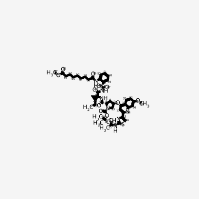 C=CC1CC1(NC(=O)[C@@H]1C[C@@H](Oc2cc(-c3csc(NC(C)C)n3)nc3cc(OC)ccc23)CN1C(=O)OC(C)(C)C)C(=O)NS(=O)(=O)c1ccccc1NC(=O)CCCCCCCC(=O)OC